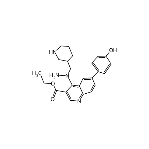 CCOC(=O)c1cnc2ccc(-c3ccc(O)cc3)cc2c1N(N)CC1CCCNC1